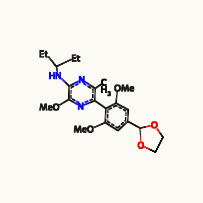 CCC(CC)Nc1nc(C)c(-c2c(OC)cc(C3OCCO3)cc2OC)nc1OC